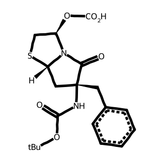 CC(C)(C)OC(=O)N[C@]1(Cc2ccccc2)C[C@@H]2SC[C@@H](OC(=O)O)N2C1=O